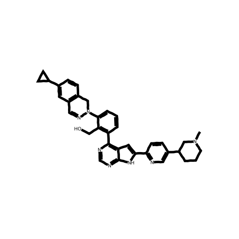 CN1CCCC(c2ccc(-c3cc4c(-c5cccc(N6Cc7ccc(C8CC8)cc7C=N6)c5CO)ncnc4[nH]3)nc2)C1